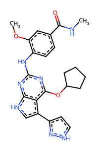 CNC(=O)c1ccc(Nc2nc(OC3CCCC3)c3c(-c4cc[nH]n4)c[nH]c3n2)c(OC)c1